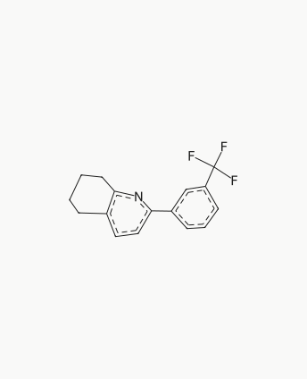 FC(F)(F)c1cccc(-c2ccc3c(n2)CCCC3)c1